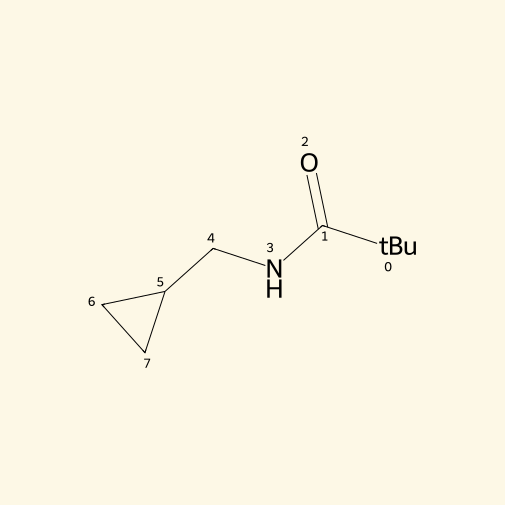 CC(C)(C)C(=O)NCC1CC1